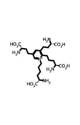 N[C@@H](CCCC[n+]1cc(CC[C@H](N)C(=O)O)cc(CC[C@H](N)C(=O)O)c1CCC[C@H](N)C(=O)O)C(=O)O